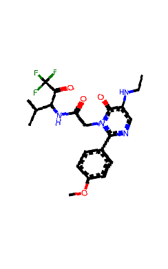 CCNc1cnc(-c2ccc(OC)cc2)n(CC(=O)NC(C(=O)C(F)(F)F)C(C)C)c1=O